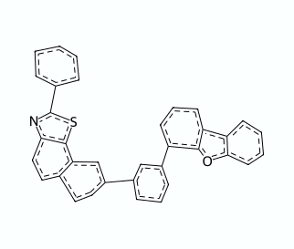 c1ccc(-c2nc3ccc4ccc(-c5cccc(-c6cccc7c6oc6ccccc67)c5)cc4c3s2)cc1